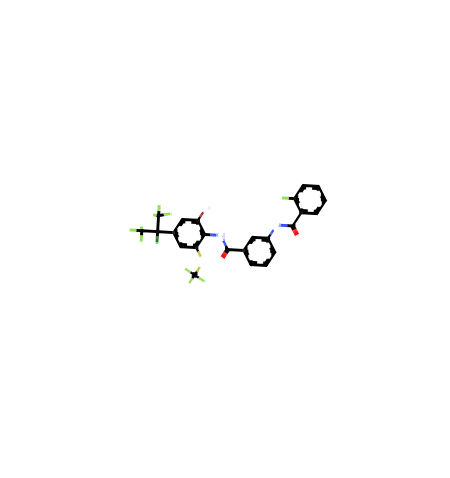 O=C(Nc1c(Br)cc(C(Cl)(C(F)(F)F)C(F)(F)F)cc1SC(F)(F)F)c1cccc(NC(=O)c2ccccc2F)c1